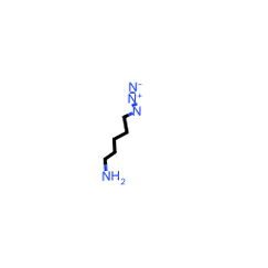 [N-]=[N+]=NCCCCCN